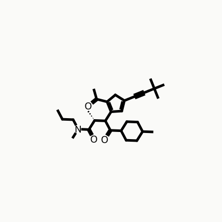 CCCN(C)C(=O)[C@H](C)C(C(=O)C1CCC(C)CC1)C1=C(C(C)=O)CC(C#CC(C)(C)C)=C1